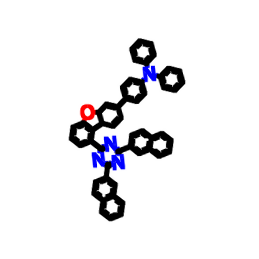 C1=CC2c3c(cccc3-c3nc(-c4ccc5ccccc5c4)nc(-c4ccc5ccccc5c4)n3)OC2C=C1c1ccc(N(c2ccccc2)c2ccccc2)cc1